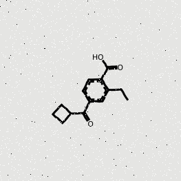 CCc1cc(C(=O)C2CCC2)ccc1C(=O)O